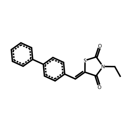 CCN1C(=O)S/C(=C\c2ccc(-c3ccccc3)cc2)C1=O